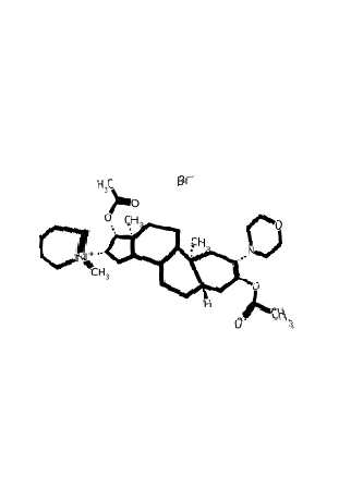 CC(=O)O[C@H]1C[C@@H]2CCC3C4C[C@H]([N+]5(C)CCCCC5)[C@H](OC(C)=O)[C@@]4(C)CCC3[C@@]2(C)C[C@@H]1N1CCOCC1.[Br-]